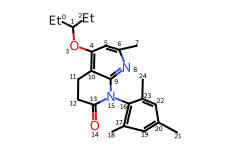 CCC(CC)Oc1cc(C)nc2c1CCC(=O)N2c1c(C)cc(C)cc1C